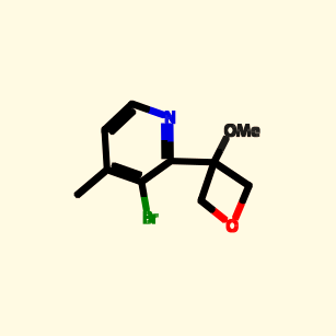 COC1(c2nccc(C)c2Br)COC1